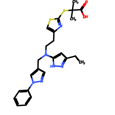 CCc1cc(N(CCc2csc(SC(C)(C)C(=O)O)n2)Cc2cnn(-c3ccccc3)c2)[nH]n1